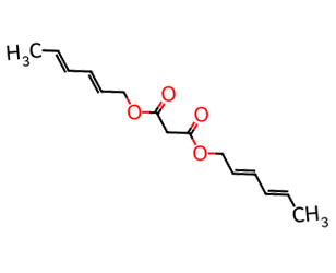 C/C=C/C=C/COC(=O)CC(=O)OC/C=C/C=C/C